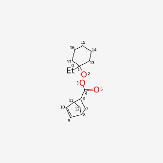 CCC1(OOC(=O)C2CC3C=CC2C3)CCCCC1